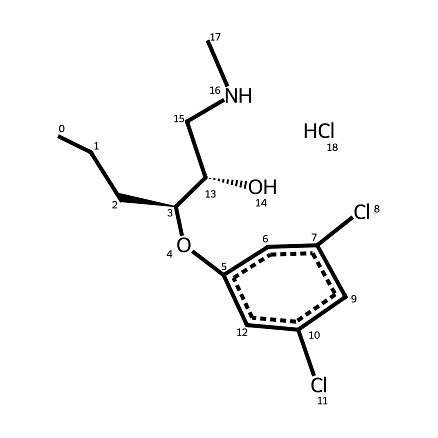 CCC[C@H](Oc1cc(Cl)cc(Cl)c1)[C@@H](O)CNC.Cl